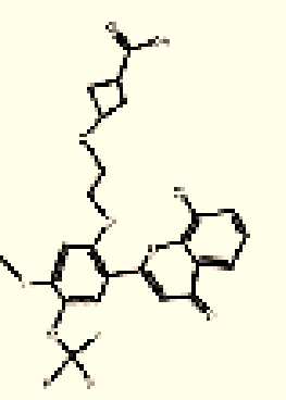 COc1cc(OCCOC2CC(C(=O)O)C2)c(-c2cc(=O)c3cccc(Cl)c3o2)cc1OC(F)(F)F